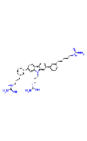 N=C(N)NCCCCCc1cccc(-c2ccc3c4ccc(-c5cccc(CCCNC(=N)N)c5)cc4n(CCCNC(=N)N)c3c2)c1